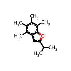 Cc1c(C)c(C)c2oc(C(C)C)cc2c1C